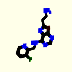 NCCc1nc2c(NCc3ncccc3F)ncnc2s1